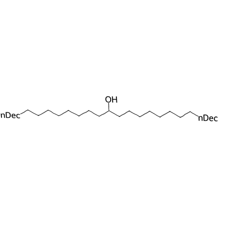 CCCCCCCCCCCCCCCCCCC(O)CCCCCCCCCCCCCCCCCC